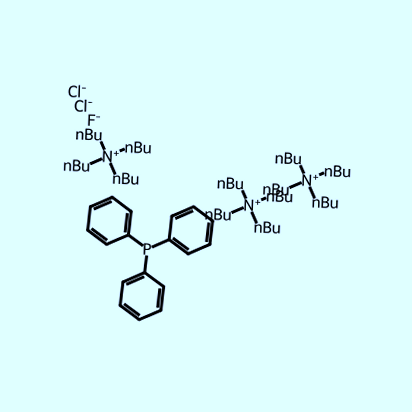 CCCC[N+](CCCC)(CCCC)CCCC.CCCC[N+](CCCC)(CCCC)CCCC.CCCC[N+](CCCC)(CCCC)CCCC.[Cl-].[Cl-].[F-].c1ccc(P(c2ccccc2)c2ccccc2)cc1